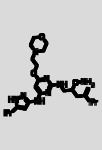 C=C(CC(CNc1nc(Nc2cc(C(C)C)[nH]n2)cc(OCCN2CCOCC2)n1)ON)C(C)C